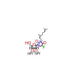 CCCC1(CCC)O[C@@H]2[C@H](O1)[C@@H](CO)O[C@H]2n1cc(F)c(=O)n(CC=C(C)CCC=C(C)C)c1=O